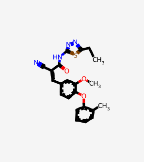 CCc1nnc(NC(=O)C(C#N)=Cc2ccc(Oc3ccccc3C)c(OC)c2)s1